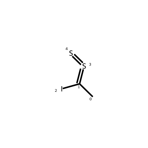 CC(I)=S=S